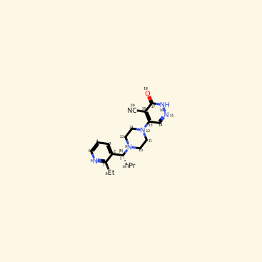 CCC[C@H](c1cccnc1CC)N1CCN(c2cn[nH]c(=O)c2C#N)CC1